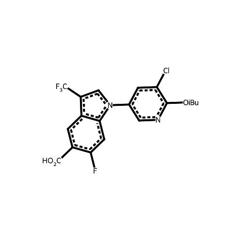 CC(C)COc1ncc(-n2cc(C(F)(F)F)c3cc(C(=O)O)c(F)cc32)cc1Cl